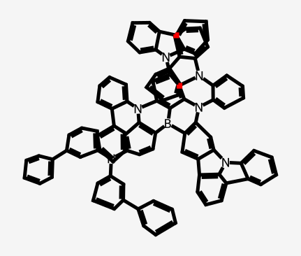 c1ccc(-c2cccc(N(c3cccc(-c4ccccc4)c3)c3ccc4c(c3)N(c3ccccc3-c3ccccc3)c3cc(-n5c6ccccc6c6ccccc65)cc5c3B4c3cc4c6cccc7c8ccccc8n(c4cc3N5c3ccccc3-n3c4ccccc4c4ccccc43)c76)c2)cc1